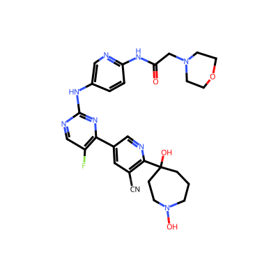 N#Cc1cc(-c2nc(Nc3ccc(NC(=O)CN4CCOCC4)nc3)ncc2F)cnc1C1(O)CCCN(O)CC1